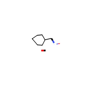 C=O.[O-][NH+]=CC1CCCCC1